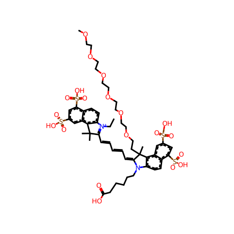 CC[N+]1=C(/C=C/C=C/C=C2/N(CCCCCC(=O)O)c3ccc4c(S(=O)(=O)O)cc(S(=O)(=O)O)cc4c3C2(C)CCOCCOCCOCCOCCOCCOC)C(C)(C)c2c1ccc1c(S(=O)(=O)O)cc(S(=O)(=O)O)cc21